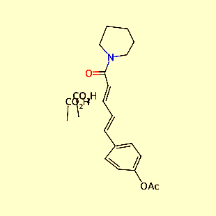 CC(=O)O.CC(=O)O.CC(=O)Oc1ccc(/C=C/C=C/C(=O)N2CCCCC2)cc1